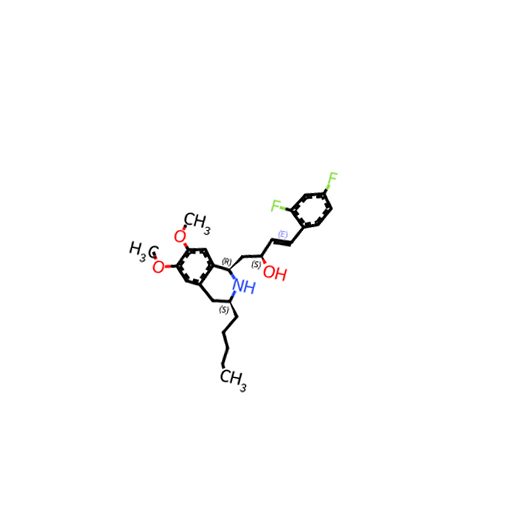 CCCCC[C@H]1Cc2cc(OC)c(OC)cc2[C@@H](C[C@H](O)/C=C/c2ccc(F)cc2F)N1